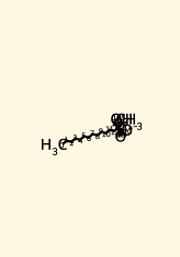 CCCCCCCCCCCCCC(CC)(CO)[N+](=O)[O-]